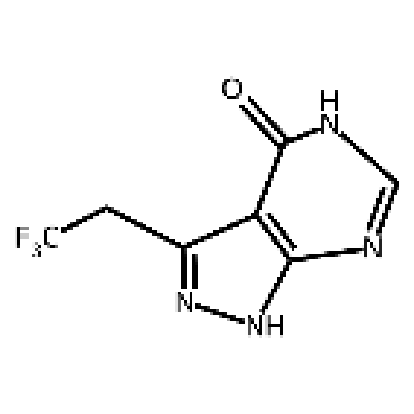 O=c1[nH]cnc2[nH]nc(CC(F)(F)F)c12